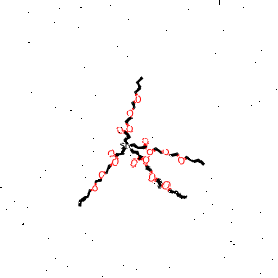 CCCCOCCOCCOC(=O)C[CH2][Sn]([CH2]CC(=O)OCCOCCOCCCC)([CH2]CC(=O)OCCOCCOCCCC)[CH2]CC(=O)OCCOCCOCCCC